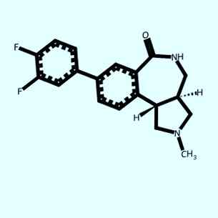 CN1C[C@@H]2CNC(=O)c3cc(-c4ccc(F)c(F)c4)ccc3[C@H]2C1